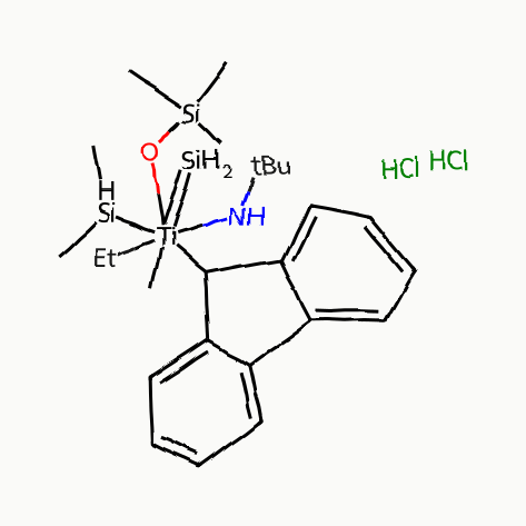 C[CH2][Ti]([CH3])(=[SiH2])([NH]C(C)(C)C)([O][Si](C)(C)C)([CH]1c2ccccc2-c2ccccc21)[SiH](C)C.Cl.Cl